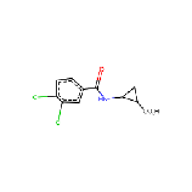 O=C(NC1CC1C(=O)O)c1ccc(Cl)c(Cl)c1